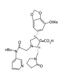 CCCCN(C(=O)CN1C[C@H](c2cc(OC)c3c(c2)OCO3)[C@@H](C(=O)O)[C@@H]1CN1CCCC1=O)c1cccnc1